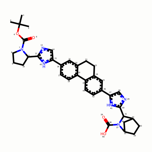 CC(C)(C)OC(=O)N1CCCC1c1ncc(-c2ccc3c(c2)CCc2cc(-c4cnc(C5C6CCC(C6)N5C(=O)O)[nH]4)ccc2-3)[nH]1